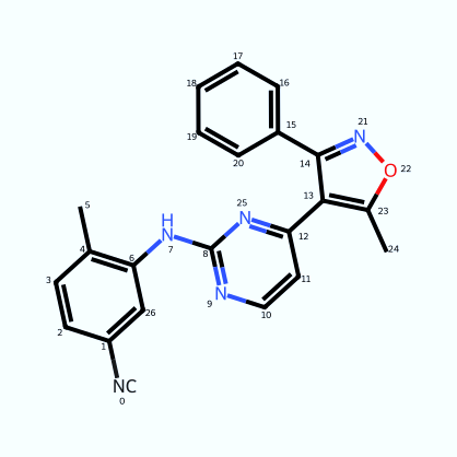 [C-]#[N+]c1ccc(C)c(Nc2nccc(-c3c(-c4ccccc4)noc3C)n2)c1